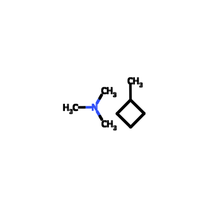 CC1CCC1.CN(C)C